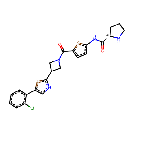 O=C(Nc1ccc(C(=O)N2CC(c3ncc(-c4ccccc4Cl)s3)C2)s1)[C@@H]1CCCN1